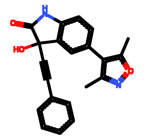 Cc1noc(C)c1-c1ccc2c(c1)C(O)(C#Cc1ccccc1)C(=O)N2